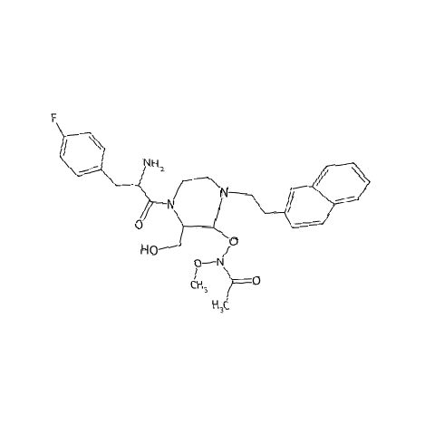 CON(OC1C(CO)N(C(=O)C(N)Cc2ccc(F)cc2)CCN1CCc1ccc2ccccc2c1)C(C)=O